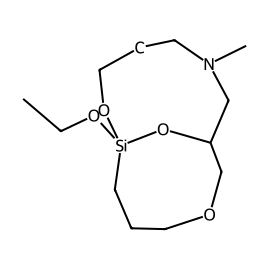 CCO[Si]12CCCOCC(CN(C)CCCO1)O2